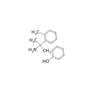 Cc1ccccc1C(C)(C)N.Oc1ccccc1